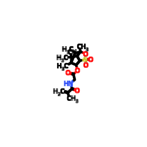 C=C(C)C(=O)NCC(=O)OC1C2C3C(C)(OS2(=O)=O)C(C)C1(C)C3(C)C